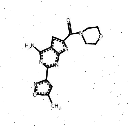 Cc1cc(-c2nc(N)c3cc(C(=O)N4CCOCC4)sc3n2)no1